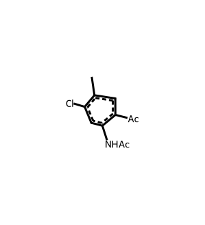 CC(=O)Nc1cc(Cl)c(C)cc1C(C)=O